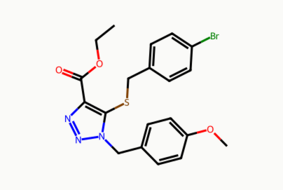 CCOC(=O)c1nnn(Cc2ccc(OC)cc2)c1SCc1ccc(Br)cc1